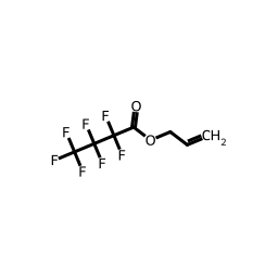 C=CCOC(=O)C(F)(F)C(F)(F)C(F)(F)F